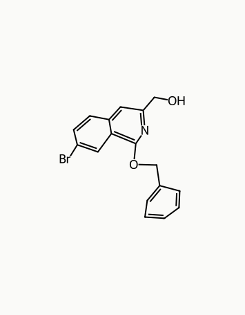 OCc1cc2ccc(Br)cc2c(OCc2ccccc2)n1